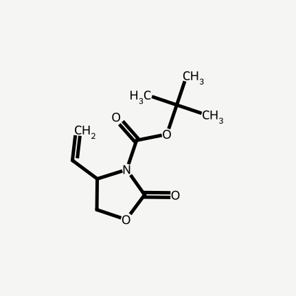 C=CC1COC(=O)N1C(=O)OC(C)(C)C